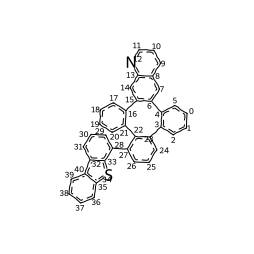 c1ccc2c(c1)-c1cc3cccnc3cc1-c1ccccc1-c1c-2cccc1-c1cccc2c1sc1ccccc12